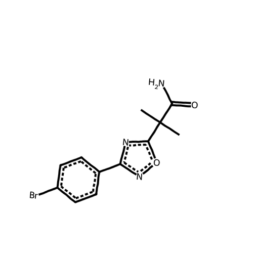 CC(C)(C(N)=O)c1nc(-c2ccc(Br)cc2)no1